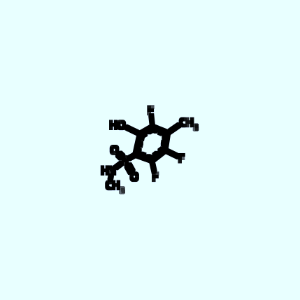 CNS(=O)(=O)c1c(O)c(F)c(C)c(F)c1F